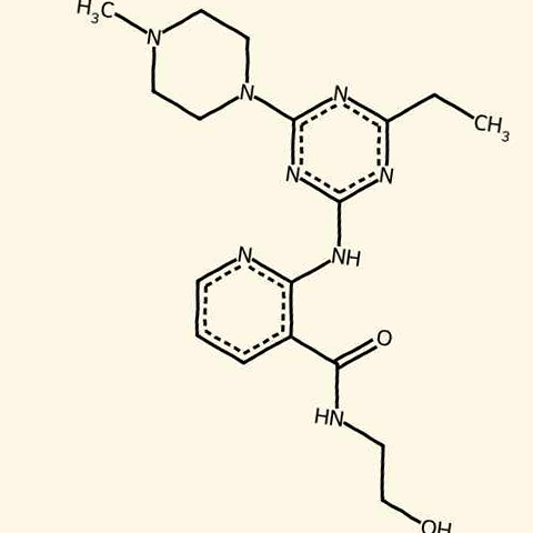 CCc1nc(Nc2ncccc2C(=O)NCCO)nc(N2CCN(C)CC2)n1